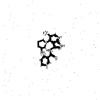 NC1CCCN(c2c(C(F)(F)F)cnc3[nH]cc(NC(=O)c4cccnc4)c23)C1